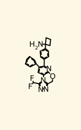 NC1(c2ccc(-c3nc4c(cc3-c3ccccc3)-n3c(nnc3C(F)F)CO4)cc2)CCC1